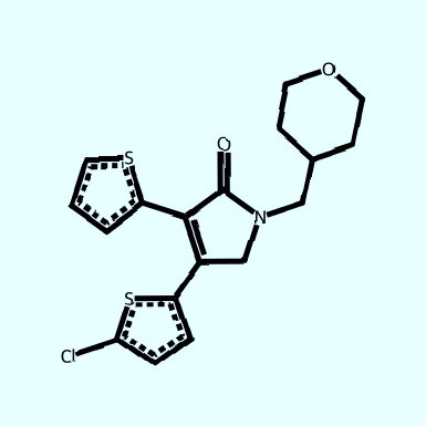 O=C1C(c2cccs2)=C(c2ccc(Cl)s2)CN1CC1CCOCC1